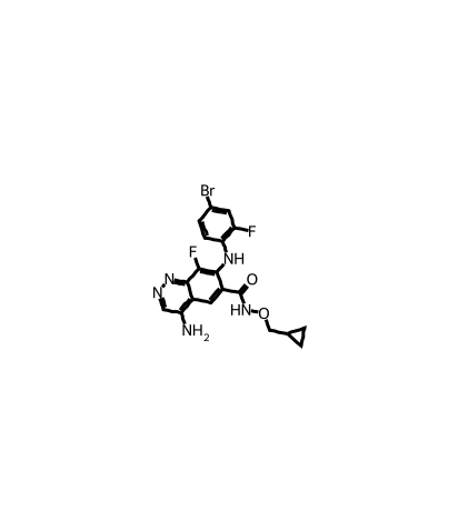 Nc1cnnc2c(F)c(Nc3ccc(Br)cc3F)c(C(=O)NOCC3CC3)cc12